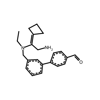 CCN(Cc1cccc(-c2ccc(C=O)cc2)c1)C(CN)=C1CCC1